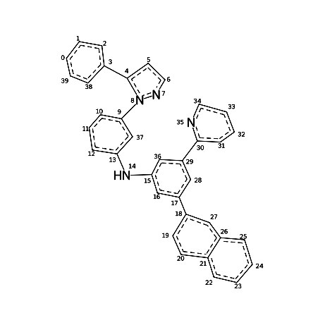 c1ccc(-c2ccnn2-c2cccc(Nc3cc(-c4ccc5ccccc5c4)cc(-c4ccccn4)c3)c2)cc1